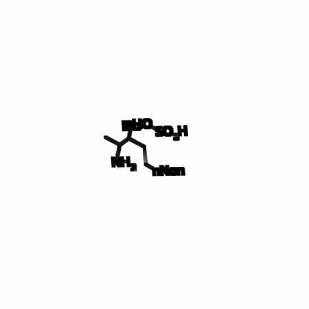 CCCCCCCCCCCC(C(C)N)C(C)CC.O=S(=O)(O)O